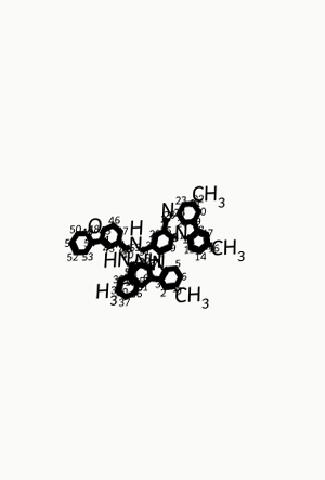 CC1=CC2=C(CC1)N(C1=CC(N3c4ccc(C)cc4C4CC(C)CCC43)C(C#N)C=C1C1NC(C3=CCCC=C3)NC(C3C=C4C(CC3)OC3CC=CCC43)N1)C1CCC(C)CC21